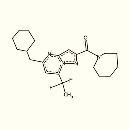 CC(F)(F)c1cc(CC2CCCCC2)nc2cc(C(=O)N3CCCCCC3)nn12